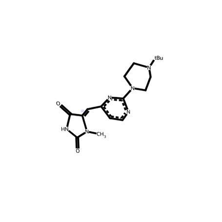 CN1C(=O)NC(=O)/C1=C/c1ccnc(N2CCN(C(C)(C)C)CC2)n1